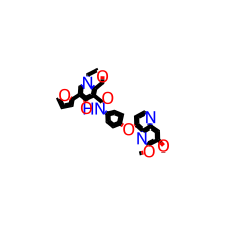 COc1cc2nccc(Oc3ccc(NC(=O)c4c5n(cc(-c6ccco6)c4=O)CCOC5)cc3)c2nc1OC